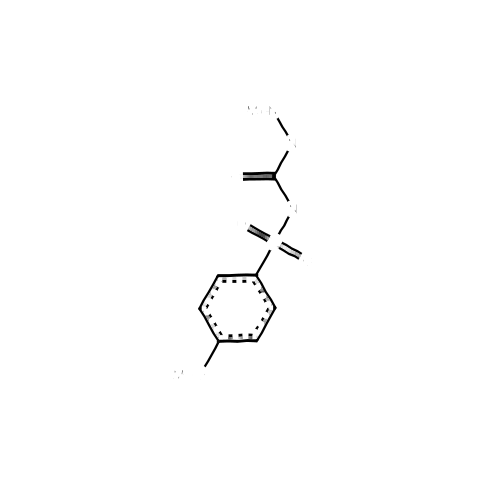 CNNC(=O)NS(=O)(=O)c1ccc(OC)cc1